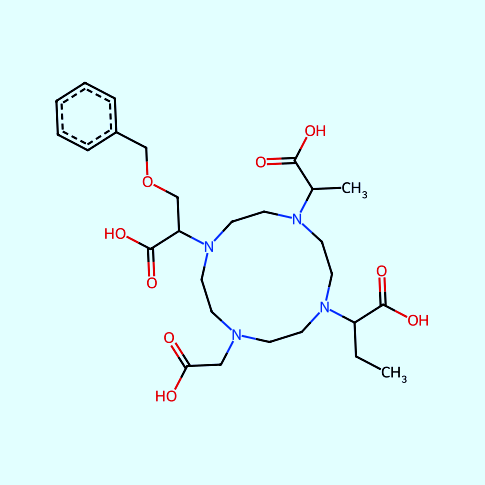 CCC(C(=O)O)N1CCN(CC(=O)O)CCN(C(COCc2ccccc2)C(=O)O)CCN(C(C)C(=O)O)CC1